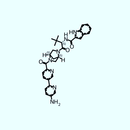 CC(C)(C)[C@H](NC(=O)c1cc2ccccc2[nH]1)C(=O)N1C[C@@H]2C[C@H]1CN2C(=O)c1ccc(-c2ccc(N)cn2)cn1